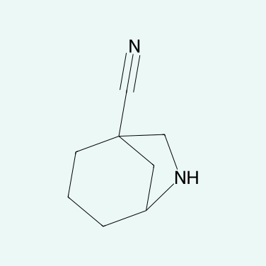 N#CC12CCCC(C1)NC2